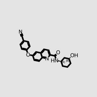 N#Cc1ccc(Oc2ccc3nc(C(=O)N[C@@H]4CCC[C@@H](O)C4)ccc3c2)cc1